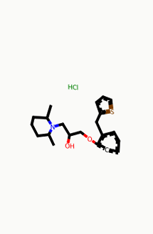 CC1CCCC(C)N1CC(O)COc1ccccc1Cc1cccs1.Cl